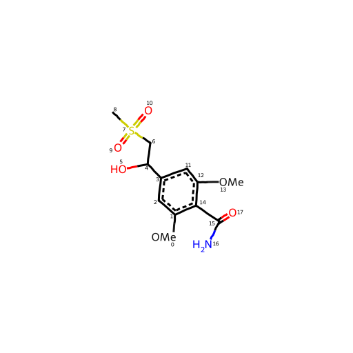 COc1cc(C(O)CS(C)(=O)=O)cc(OC)c1C(N)=O